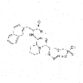 CC(=O)NC(CSCP(=O)(O)O)C(=O)N1CCCCC1C(=O)NC(Cc1ccc2ccccc2c1)C(N)=O